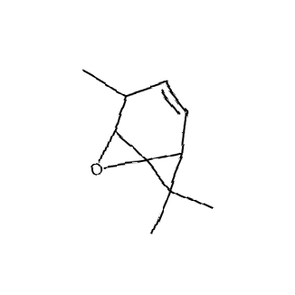 CC1C=CC2C(C)(C)C23OC13